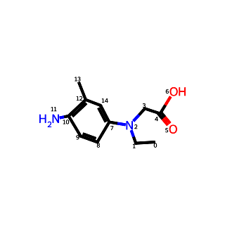 CCN(CC(=O)O)c1ccc(N)c(C)c1